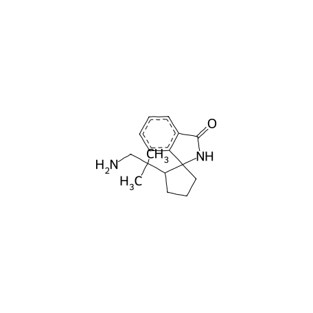 CC(C)(CN)C1CCCC12NC(=O)c1ccccc12